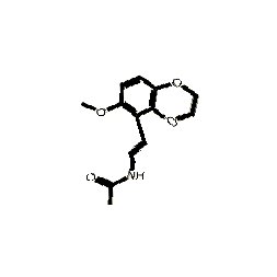 COc1ccc2c(c1CCNC(C)=O)OCCO2